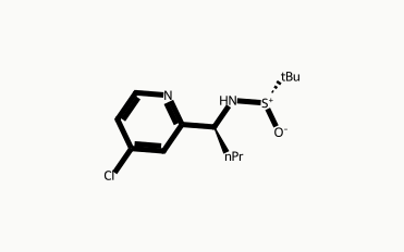 CCC[C@H](N[S@@+]([O-])C(C)(C)C)c1cc(Cl)ccn1